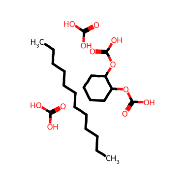 CCCCCCCCCCCC.O=C(O)O.O=C(O)O.O=C(O)OC1CCCCC1OC(=O)O